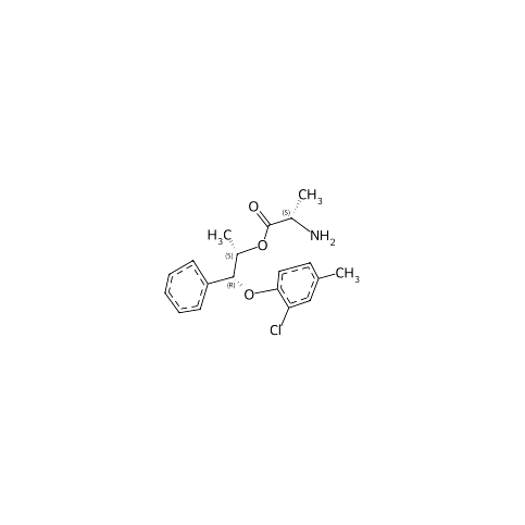 Cc1ccc(O[C@H](c2ccccc2)[C@H](C)OC(=O)[C@H](C)N)c(Cl)c1